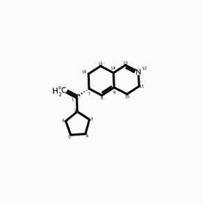 C=C(C1CCCC1)[C@H]1C=C2CCN=CC2CC1